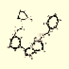 CN1CCC[C@H]1COc1cccc(-c2cnc3ccc(NCc4ccccc4)nn23)c1